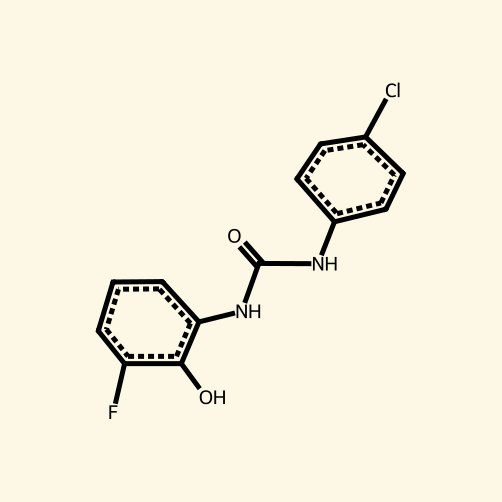 O=C(Nc1ccc(Cl)cc1)Nc1cccc(F)c1O